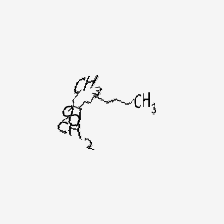 C=CC(=O)OC(CCC)C(I)CCCCCCCC